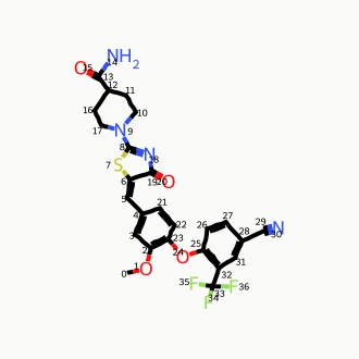 COc1cc(/C=C2/SC(N3CCC(C(N)=O)CC3)=NC2=O)ccc1Oc1ccc(C#N)cc1C(F)(F)F